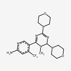 CN1C(c2cnc(N)cc2C(F)(F)F)=NC(N2CCOCC2)=NC1N1CCOCC1